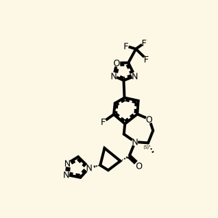 C[C@H]1COc2cc(-c3noc(C(F)(F)F)n3)cc(F)c2CN1C(=O)[C@H]1C[C@@H](n2cnnc2)C1